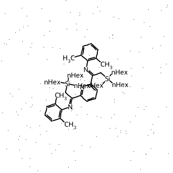 CCCCCC[Si](CCCCCC)(CCCCCC)CC(=Nc1c(C)cccc1C)c1cccc(C(C[Si](CCCCCC)(CCCCCC)CCCCCC)=Nc2c(C)cccc2C)n1